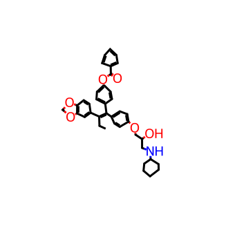 CCC(=C(c1ccc(OCC(O)CNC2CCCCC2)cc1)c1ccc(OC(=O)c2ccccc2)cc1)c1ccc2c(c1)OCO2